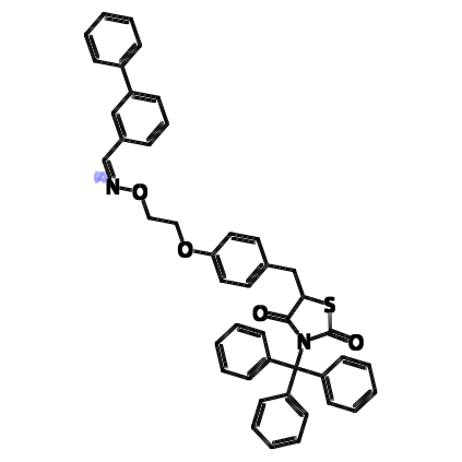 O=C1SC(Cc2ccc(OCCO/N=C\c3cccc(-c4ccccc4)c3)cc2)C(=O)N1C(c1ccccc1)(c1ccccc1)c1ccccc1